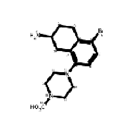 NC1CCc2c(Br)ccc(N3CCN(C(=O)O)CC3)c2C1